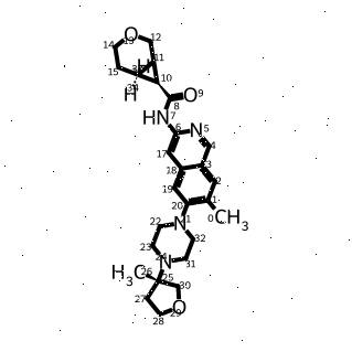 Cc1cc2cnc(NC(=O)[C@@H]3[C@@H]4COCC[C@@H]43)cc2cc1N1CCN([C@@]2(C)CCOC2)CC1